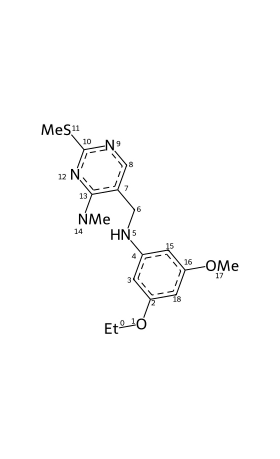 CCOc1cc(NCc2cnc(SC)nc2NC)cc(OC)c1